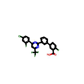 O=C(O)c1cc(-c2cccc(-c3nc(-c4ccc(Cl)cc4F)cc(C(F)(F)F)n3)c2)ccc1F